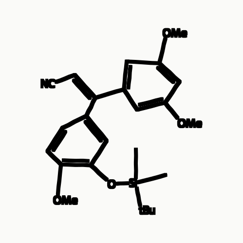 COc1cc(OC)cc(C(=CC#N)c2ccc(OC)c(O[Si](C)(C)C(C)(C)C)c2)c1